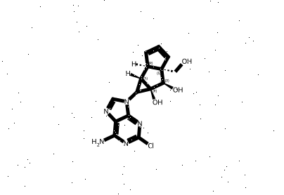 Nc1nc(Cl)nc2c1ncn2C1[C@@H]2[C@H]3C=C=C[C@@]3(CO)[C@@H](O)[C@]12O